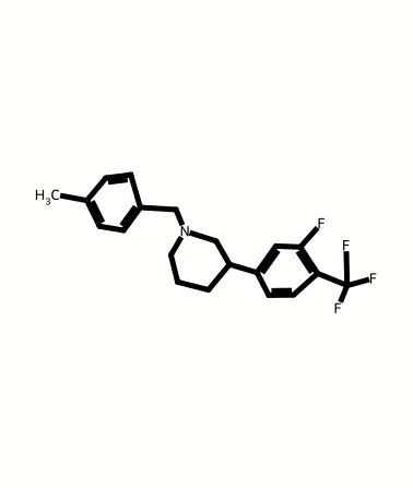 Cc1ccc(CN2CCCC(c3ccc(C(F)(F)F)c(F)c3)C2)cc1